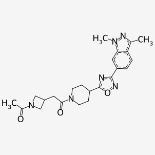 CC(=O)N1CC(CC(=O)N2CCC(c3nc(-c4ccc5c(C)nn(C)c5c4)no3)CC2)C1